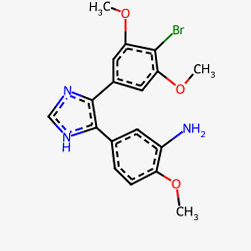 COc1ccc(-c2[nH]cnc2-c2cc(OC)c(Br)c(OC)c2)cc1N